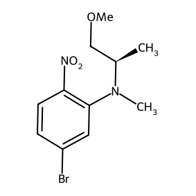 COC[C@@H](C)N(C)c1cc(Br)ccc1[N+](=O)[O-]